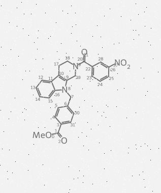 COC(=O)c1ccc(Cn2c3c(c4ccccc42)CCN(C(=O)c2cccc([N+](=O)[O-])c2)C3)cc1